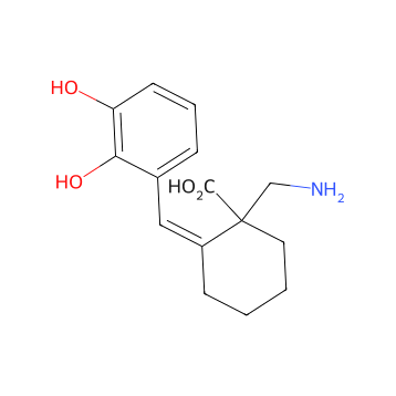 NCC1(C(=O)O)CCCCC1=Cc1cccc(O)c1O